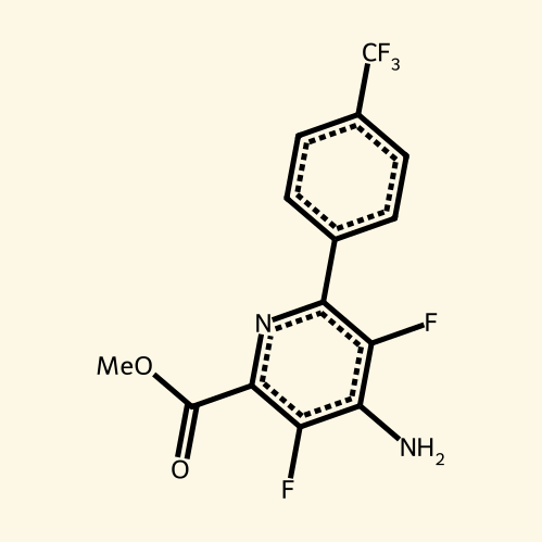 COC(=O)c1nc(-c2ccc(C(F)(F)F)cc2)c(F)c(N)c1F